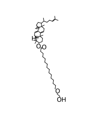 CC(C)=CCCC(C)C1CC[C@@]2(C)C3=CC[C@@H]4C(C)(CCC(OC(=O)CCCCCCCCCCCCCCCOCCO)C4(C)C)C3=CCC12C